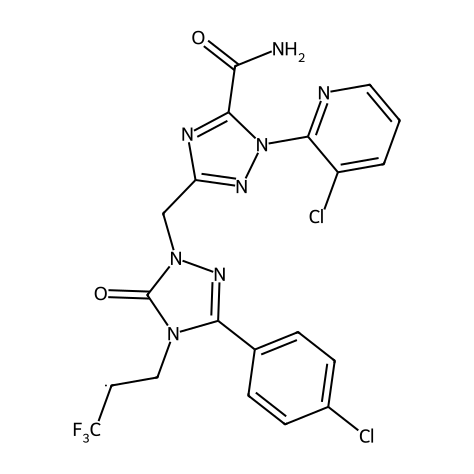 NC(=O)c1nc(Cn2nc(-c3ccc(Cl)cc3)n(C[CH]C(F)(F)F)c2=O)nn1-c1ncccc1Cl